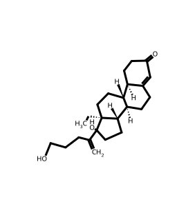 C=C(CCCO)[C@]1(O)CC[C@H]2[C@@H]3CCC4=CC(=O)CC[C@@H]4[C@H]3CC[C@@]21CC